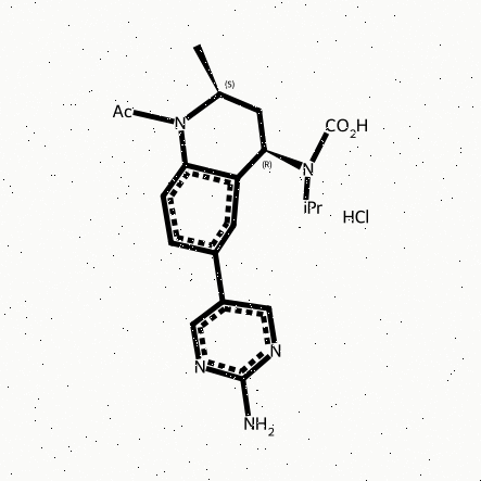 CC(=O)N1c2ccc(-c3cnc(N)nc3)cc2[C@H](N(C(=O)O)C(C)C)C[C@@H]1C.Cl